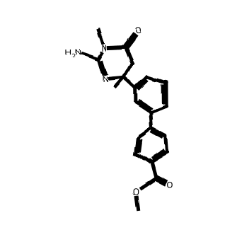 COC(=O)c1ccc(-c2cccc(C3(C)CC(=O)N(C)C(N)=N3)c2)cc1